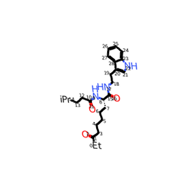 CCC(=O)CCCCC[C@H](NC(=O)CCC(C)C)C(=O)NCCc1c[nH]c2ccccc12